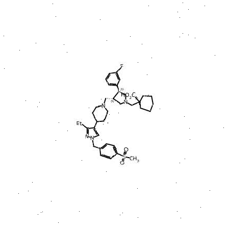 CCc1nn(Cc2ccc(S(C)(=O)=O)cc2)cc1C1CCN(C[C@H]2CN(CC3(C(=O)O)CCCCC3)C[C@@H]2c2cccc(F)c2)CC1